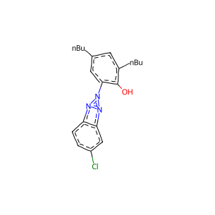 CCCCc1cc(CCCC)c(O)c(-n2n3c4ccc(Cl)cc4n23)c1